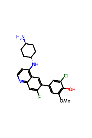 COc1cc(-c2cc3c(N[C@H]4CC[C@H](N)CC4)[c]cnc3cc2F)cc(Cl)c1O